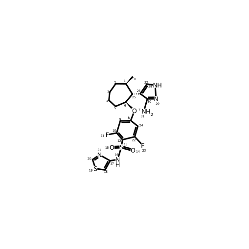 C[C@@H]1CCCC[C@H](Oc2cc(F)c(S(=O)(=O)Nc3cscn3)c(F)c2)[C@H]1c1c[nH]nc1N